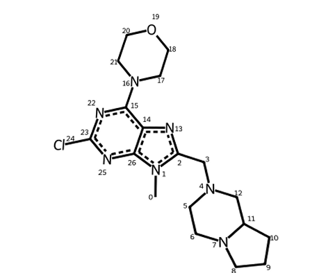 Cn1c(CN2CCN3CCCC3C2)nc2c(N3CCOCC3)nc(Cl)nc21